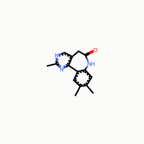 Cc1ncc2c(n1)-c1cc(C)c(C)cc1NC(=O)C2